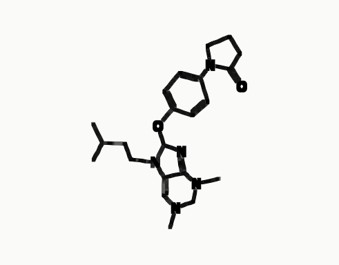 CC(C)CCN1C2=CN(C)CN(C)C2=NC1Oc1ccc(N2CCCC2=O)cc1